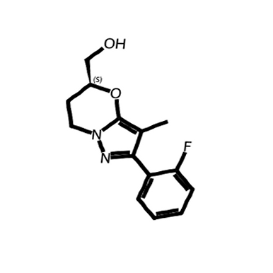 Cc1c(-c2ccccc2F)nn2c1O[C@H](CO)CC2